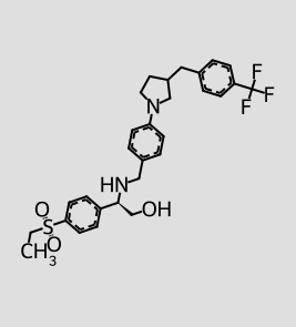 CCS(=O)(=O)c1ccc([C@H](CO)NCc2ccc(N3CCC(Cc4ccc(C(F)(F)F)cc4)C3)cc2)cc1